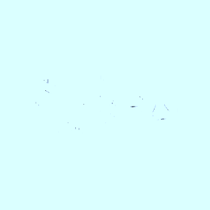 CC(=O)N(Cc1cc(F)cc(F)c1)CC1C[C@@H](C)[C@H]2C(O1)[C@H](O)[C@@]1(C)C3CC[C@H]4C(C)(C)C(OC5CN(CC(N)=O)CCO5)CCC45CC35CCC21C